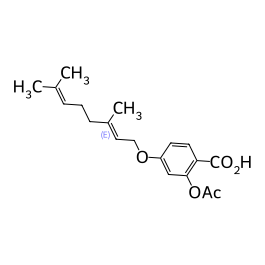 CC(=O)Oc1cc(OC/C=C(\C)CCC=C(C)C)ccc1C(=O)O